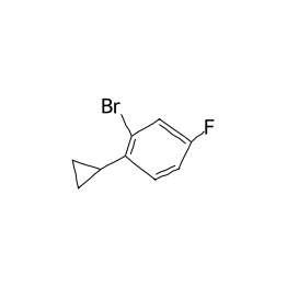 Fc1ccc(C2CC2)c(Br)c1